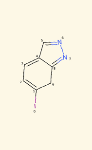 IC1=CC=C2C=NN=C2C1